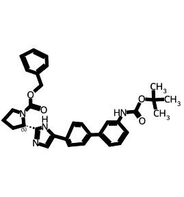 CC(C)(C)OC(=O)Nc1cccc(-c2ccc(-c3cnc([C@@H]4CCCN4C(=O)OCc4ccccc4)[nH]3)cc2)c1